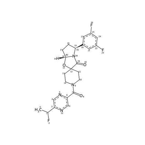 CC(F)c1cnc(C(=O)N2CCC3(CC2)O[C@@H]2CC[C@@H](c4cc(F)cc(F)c4)N2C3=O)cn1